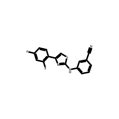 N#Cc1cccc(Nc2nc(-c3ccc(F)cc3F)cs2)c1